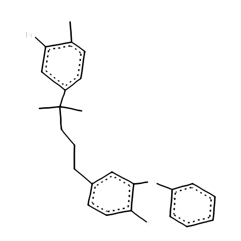 CC(C)(CCCc1ccc(F)c(Oc2ccccc2)c1)c1ccc(Cl)c(Br)c1